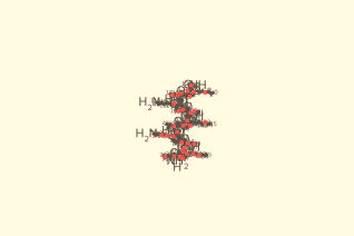 CCCCCCOc1ccc(NC(=O)[C@H](CC(C)C)NC(=O)c2cc(NC(=O)[C@@H](CC(C)C)NC(=O)c3cc(NC(=O)[C@H](CC(C)C)NC(=O)c4cc(NC(=O)[C@@H](CC(C)C)NC(=O)c5cc(NC(=O)[C@@H](N)CC(C)C)ccc5OCCCCCC)ccc4OCCCCCN)ccc3OCCCCCC)ccc2OCCCCCN)cc1C(N)=O